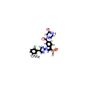 COc1ccc(F)c(-c2cnc(-n3cc([S+](C)[O-])c4ccc(C(=O)N5CCNC(=O)C5)cc43)nc2)c1